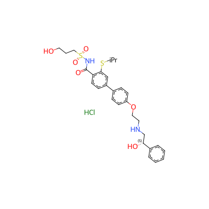 CC(C)Sc1cc(-c2ccc(OCCNC[C@@H](O)c3ccccc3)cc2)ccc1C(=O)NS(=O)(=O)CCCO.Cl